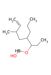 C=CC(C)CC(CCC)C(CC)OBO